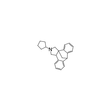 c1ccc2c(c1)C1CC3(CN(C4CCCC4)CC23)c2ccccc21